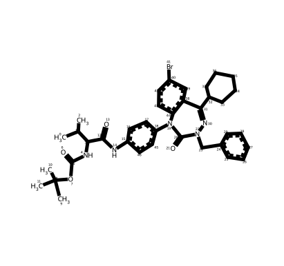 CC(C)C(NC(=O)OC(C)(C)C)C(=O)Nc1ccc(N2C(=O)N(Cc3ccccc3)N=C(C3CCCCC3)c3cc(Br)ccc32)cc1